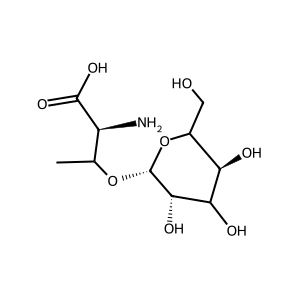 CC(O[C@@H]1OC(CO)[C@@H](O)C(O)[C@@H]1O)[C@H](N)C(=O)O